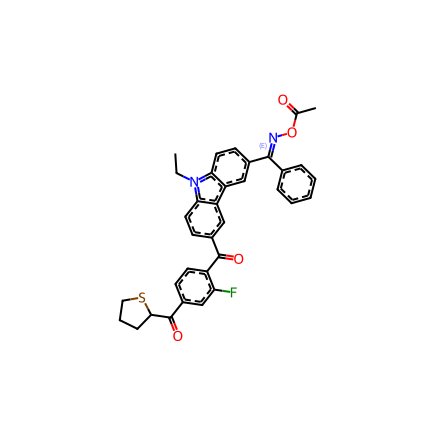 CCn1c2ccc(C(=O)c3ccc(C(=O)C4CCCS4)cc3F)cc2c2cc(/C(=N/OC(C)=O)c3ccccc3)ccc21